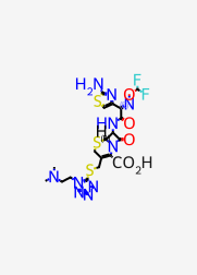 CN(C)CCn1nnnc1SCC1=C(C(=O)O)N2C(=O)C(NC(=O)/C(=N/OC(F)F)c3csc(N)n3)[C@H]2SC1